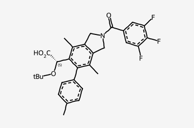 Cc1ccc(-c2c(C)c3c(c(C)c2[C@H](OC(C)(C)C)C(=O)O)CN(C(=O)c2cc(F)c(F)c(F)c2)C3)cc1